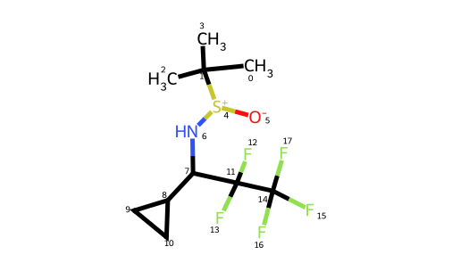 CC(C)(C)[S+]([O-])NC(C1CC1)C(F)(F)C(F)(F)F